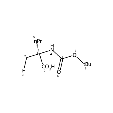 CCC[C@](CF)(NC(=O)OC(C)(C)C)C(=O)O